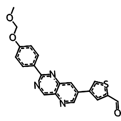 COCOc1ccc(-c2ncc3ncc(-c4csc(C=O)c4)cc3n2)cc1